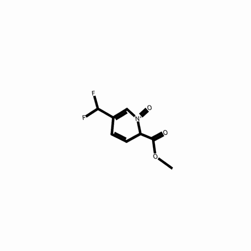 COC(=O)C1C=CC(C(F)F)=C[N+]1=O